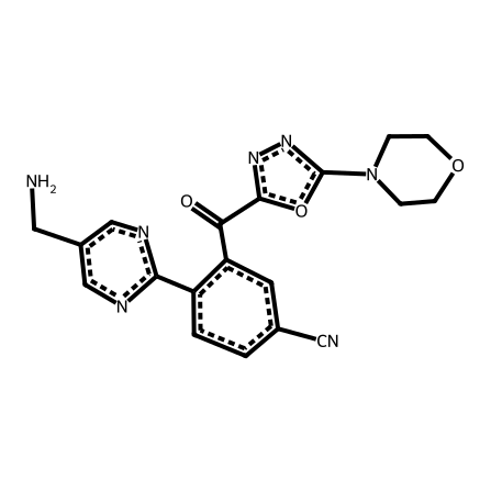 N#Cc1ccc(-c2ncc(CN)cn2)c(C(=O)c2nnc(N3CCOCC3)o2)c1